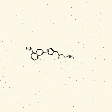 NCCNCc1ccc(-c2ccc3c(c2)=CC=CCC=3N)cc1